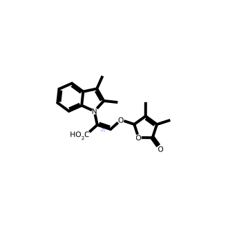 CC1=C(C)C(O/C=C(/C(=O)O)n2c(C)c(C)c3ccccc32)OC1=O